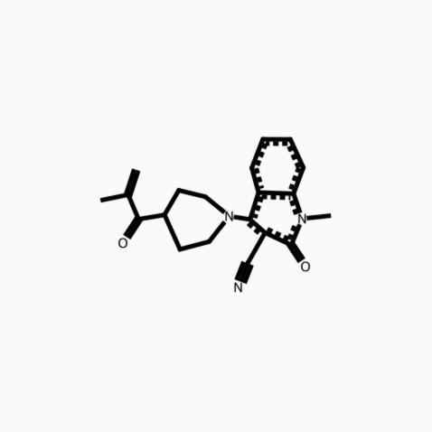 C=C(C)C(=O)C1CCN(c2c(C#N)c(=O)n(C)c3ccccc23)CC1